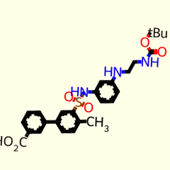 Cc1ccc(-c2cccc(C(=O)O)c2)cc1S(=O)(=O)Nc1cccc(NCCNC(=O)OC(C)(C)C)c1